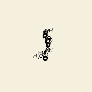 C[C@H](NC(=O)CNc1ccc2c(c1)C=C(c1ccc3c(c1)CNC3)S2(=O)=O)c1ccccc1